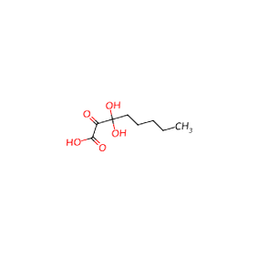 CCCCCC(O)(O)C(=O)C(=O)O